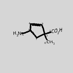 CC1(C(=O)O)C=CC(N)C1